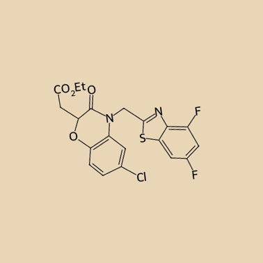 CCOC(=O)CC1Oc2ccc(Cl)cc2N(Cc2nc3c(F)cc(F)cc3s2)C1=O